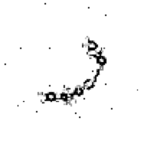 CC1(C)[C@H](NC(=O)c2ccc(N3CCN(CCCCOc4ccc5c(c4)C(=O)N(C4CCC(=O)NC4=O)C5=O)CC3)nc2)C(C)(C)[C@H]1Oc1ccc(C#N)c(Cl)c1